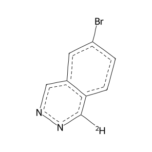 [2H]c1nncc2cc(Br)ccc12